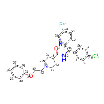 O=C(N[C@H](c1ccc(Cl)cc1)c1ccc(F)cn1)C1CCN(CCOc2ccccc2)CC1